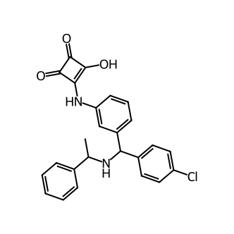 CC(NC(c1ccc(Cl)cc1)c1cccc(Nc2c(O)c(=O)c2=O)c1)c1ccccc1